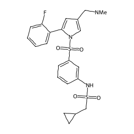 CNCc1cc(-c2ccccc2F)n(S(=O)(=O)c2cccc(NS(=O)(=O)CC3CC3)c2)c1